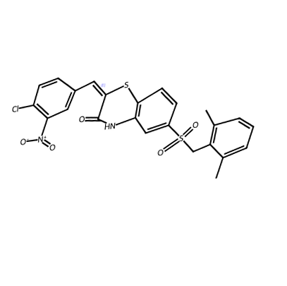 Cc1cccc(C)c1CS(=O)(=O)c1ccc2c(c1)NC(=O)/C(=C\c1ccc(Cl)c([N+](=O)[O-])c1)S2